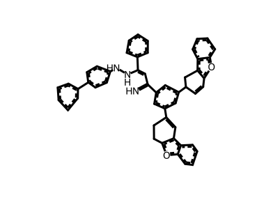 N=C(/C=C(\NNc1ccc(-c2ccccc2)cc1)c1ccccc1)c1cc(C2=Cc3c(oc4ccccc34)CC2)cc(C2C=Cc3oc4ccccc4c3C2)c1